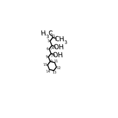 CC(C)CC(O)[CH]C(O)CC1CCCCC1